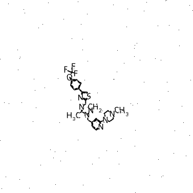 C=NN(Cc1ccnc(N2CCN(C)CC2)c1)/C(C)=N\Cc1nc(-c2ccc(OC(F)(F)F)cc2)cs1